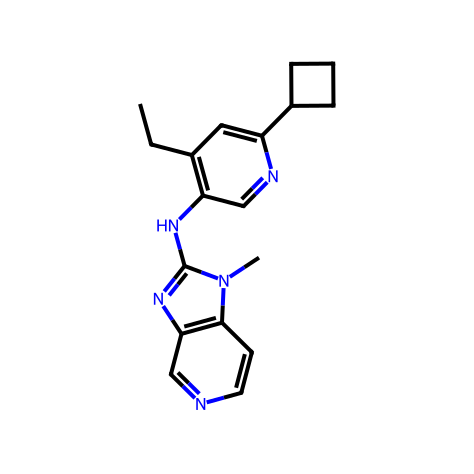 CCc1cc(C2CCC2)ncc1Nc1nc2cnccc2n1C